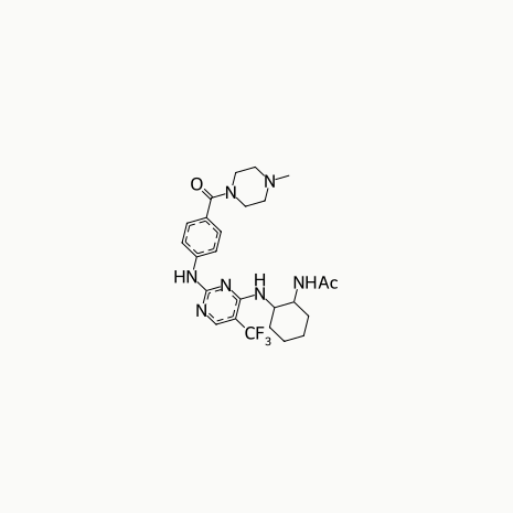 CC(=O)NC1CCCCC1Nc1nc(Nc2ccc(C(=O)N3CCN(C)CC3)cc2)ncc1C(F)(F)F